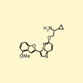 COc1cccc2oc(-c3cnc4ccc(OCC(N)C5CC5)nn34)cc12